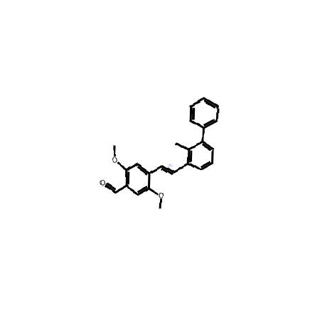 COc1cc(/C=C/c2cccc(-c3ccccc3)c2C)c(OC)cc1C=O